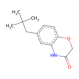 CC(C)(C)Cc1ccc2c(c1)NC(=O)CO2